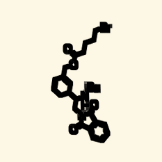 CCC(C)NC(CN1C(=O)c2ccccc2C1=O)C1C=C(COC(=O)CCCCBr)C=CC1